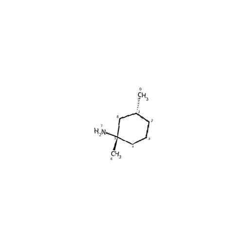 C[C@@H]1CCC[C@](C)(N)C1